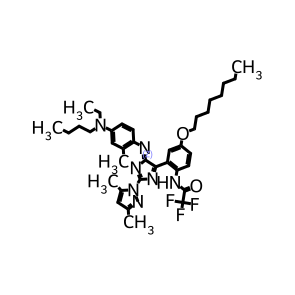 CCCCCCCCOc1ccc(NC(=O)C(F)(F)F)c(C2=NC(n3nc(C)cc3C)=N/C2=N\c2ccc(N(CC)CCCC)cc2C)c1